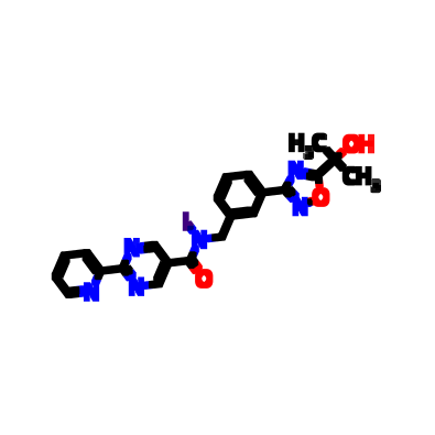 CC(C)(O)c1nc(-c2cccc(CN(I)C(=O)c3cnc(-c4ccccn4)nc3)c2)no1